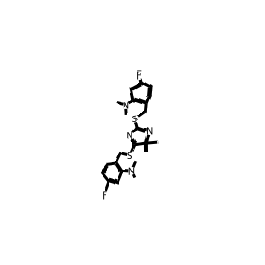 CN(C)c1cc(F)ccc1CSC1=NC(C)(C)C(SCc2ccc(F)cc2N(C)C)=N1